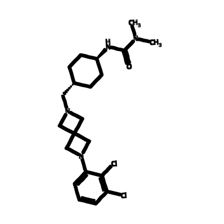 CN(C)C(=O)N[C@H]1CC[C@H](CN2CC3(C2)CN(c2cccc(Cl)c2Cl)C3)CC1